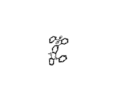 CB1c2ccccc2N(c2ccccc2)c2cc(-c3ccccc3S(=O)(=O)c3ccccc3)ccc21